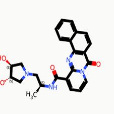 C[C@@H](CN1C[C@H](O)[C@@H](O)C1)NC(=O)c1cccn2c(=O)c3ccc4ccccc4c3nc12